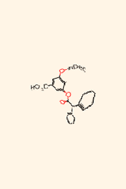 CCCCCCCCCCOc1cc(OC(=O)C(c2ccccc2)c2ccccc2)cc(C(=O)O)c1